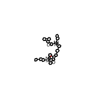 c1ccc(-c2ccc3cc(-c4nc(-c5ccccc5)nc(-c5cccc6oc7cc8c9c(cccc9c7c56)-c5cc(-c6ccc(-c7cccc(-c9nc(-c%10ccc%11ccccc%11c%10)nc(-c%10ccc%11oc%12cc%13c%14c(cccc%14c%12c%11c%10)-c%10ccccc%10-%13)n9)c7)cc6)ccc5-8)n4)ccc3c2)cc1